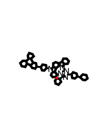 c1ccc(-c2ccc(-c3nc(-c4ccccc4)nc(-n4c5ccccc5c5ccc6c(c7ccccc7n6-c6ccc(-c7ccc8c9ccccc9c9ccccc9c8c7)cc6)c54)n3)cc2)cc1